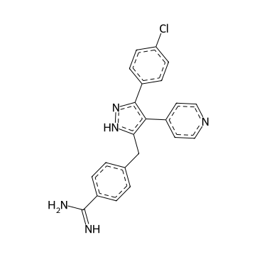 N=C(N)c1ccc(Cc2[nH]nc(-c3ccc(Cl)cc3)c2-c2ccncc2)cc1